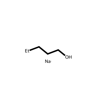 CCCCCO.[Na]